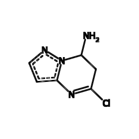 NC1CC(Cl)=Nc2ccnn21